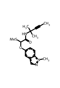 CC#CC(C)(C)NC(=O)C(Oc1ccc2c(cnn2C)c1)SC